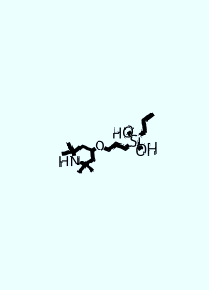 C=CC[Si](O)(O)CCCOC1CC(C)(C)NC(C)(C)C1